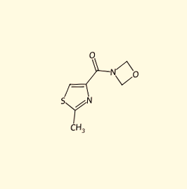 Cc1nc(C(=O)N2COC2)cs1